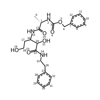 C[C@H](NC(=O)OCc1ccccc1)C(=O)NC(CCO)C(O)C(=O)NCCc1ccccc1